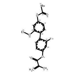 C=C(C)C(=O)Oc1ccc(-c2ccc(OC(=O)C(C)(C)C)cc2OCC)c(F)c1